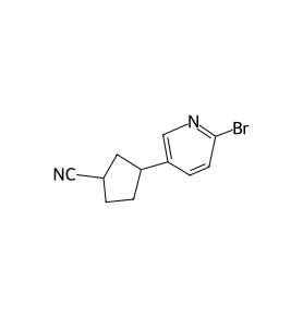 N#CC1CCC(c2ccc(Br)nc2)C1